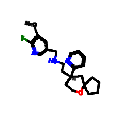 COc1cc(CNCC[C@]2(c3ccccn3)CCOC3(CCCC3)C2)cnc1F